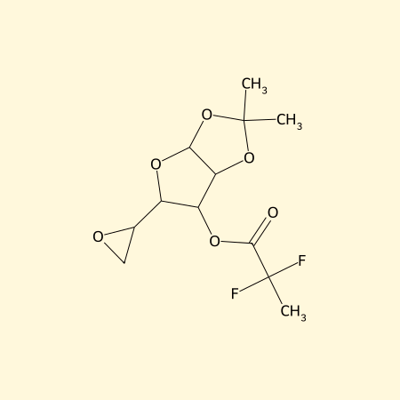 CC1(C)OC2OC(C3CO3)C(OC(=O)C(C)(F)F)C2O1